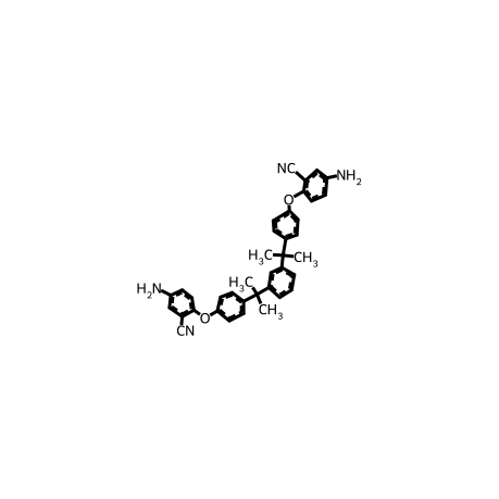 CC(C)(c1ccc(Oc2ccc(N)cc2C#N)cc1)c1cccc(C(C)(C)c2ccc(Oc3ccc(N)cc3C#N)cc2)c1